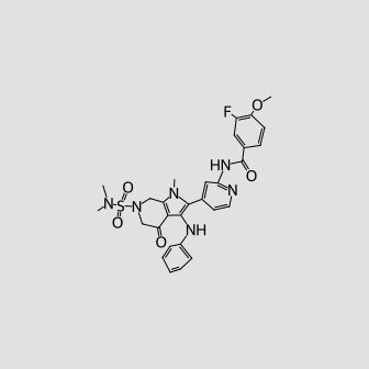 COc1ccc(C(=O)Nc2cc(-c3c(Nc4ccccc4)c4c(n3C)CN(S(=O)(=O)N(C)C)CC4=O)ccn2)cc1F